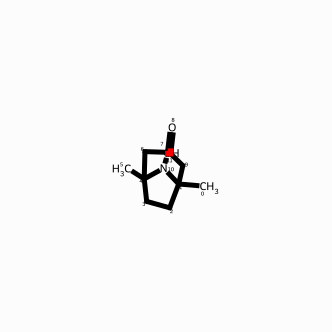 CC12CCC(C)(CC(=O)C1)N2O